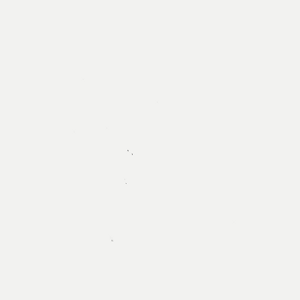 COc1ccc(Br)c(C(=O)NC(O)C(C)C)c1